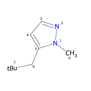 Cn1nccc1CC(C)(C)C